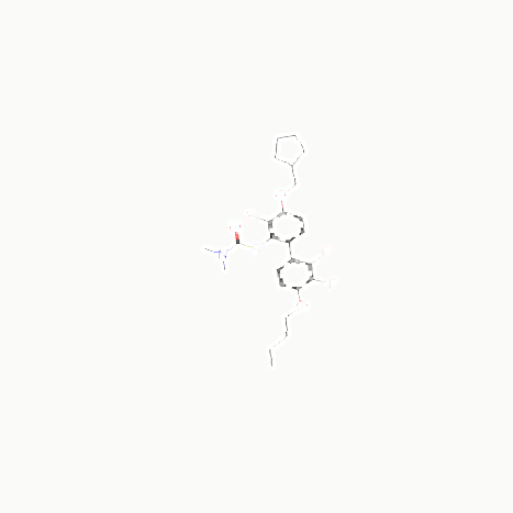 CCCCOc1ccc(-c2ccc(OCC3CCCC3)c(F)c2SC(=O)N(C)C)c(F)c1F